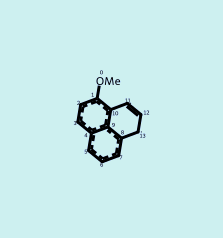 COc1ccc2cccc3c2c1[C]=C[CH]3